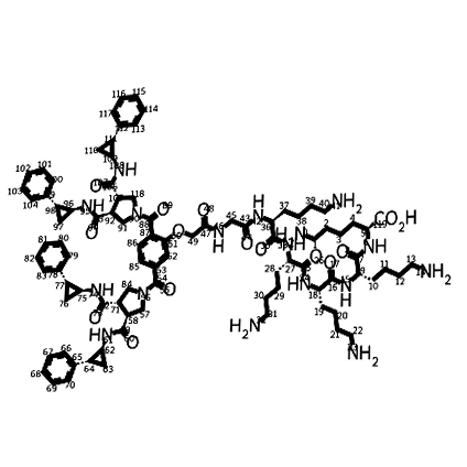 NCCCC[C@H](NC(=O)[C@H](CCCCN)NC(=O)[C@H](CCCCN)NC(=O)[C@H](CCCCN)NC(=O)[C@H](CCCCN)NC(=O)CNC(=O)COc1cc(C(=O)N2C[C@@H](C(=O)N[C@H]3C[C@@H]3c3ccccc3)[C@H](C(=O)N[C@H]3C[C@@H]3c3ccccc3)C2)ccc1C(=O)N1C[C@@H](C(=O)N[C@H]2C[C@@H]2c2ccccc2)[C@H](C(=O)N[C@H]2C[C@@H]2c2ccccc2)C1)C(=O)O